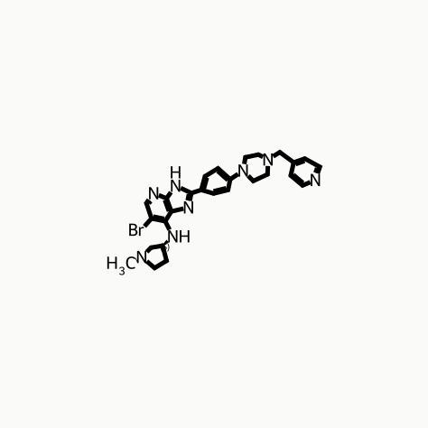 CN1CC[C@H](Nc2c(Br)cnc3[nH]c(-c4ccc(N5CCN(Cc6ccncc6)CC5)cc4)nc23)C1